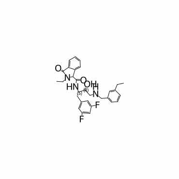 CCc1cccc(CNC[C@@H](O)[C@H](Cc2cc(F)cc(F)c2)NC(=O)C2c3ccccc3C(=O)N2CC)c1